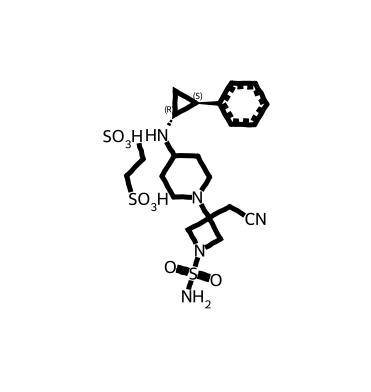 N#CCC1(N2CCC(N[C@@H]3C[C@H]3c3ccccc3)CC2)CN(S(N)(=O)=O)C1.O=S(=O)(O)CCS(=O)(=O)O